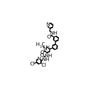 CCn1nc(-c2cccc(-c3cccc(C(=O)NCc4cccnc4)c3)c2)cc(NC(=O)Nc2ncc(Cl)cc2Cl)c1=O